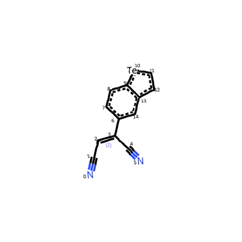 N#C/C=C(\C#N)c1ccc2[te]ccc2c1